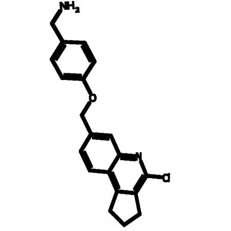 NCc1ccc(OCc2ccc3c4c(c(Cl)nc3c2)CCC4)cc1